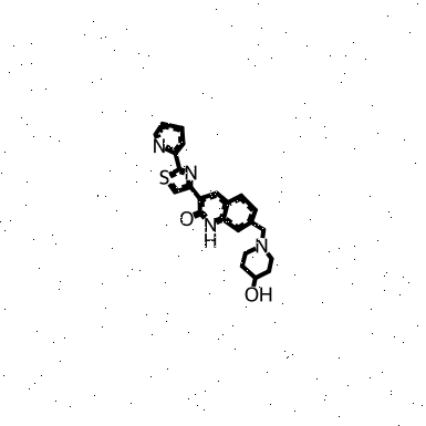 O=c1[nH]c2cc(CN3CCC(O)CC3)ccc2cc1-c1csc(-c2ccccn2)n1